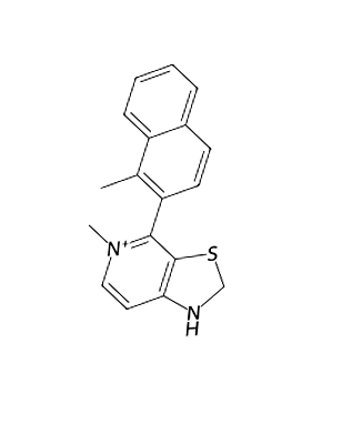 Cc1c(-c2c3c(cc[n+]2C)NCS3)ccc2ccccc12